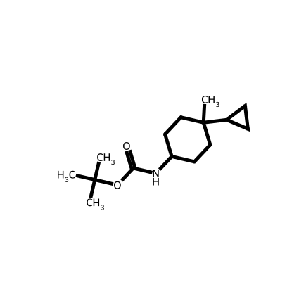 CC(C)(C)OC(=O)NC1CCC(C)(C2CC2)CC1